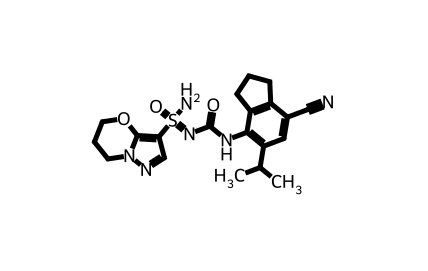 CC(C)c1cc(C#N)c2c(c1NC(=O)N=S(N)(=O)c1cnn3c1OCCC3)CCC2